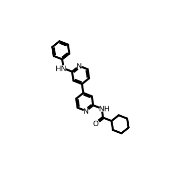 O=C(Nc1cc(-c2ccnc(Nc3ccccc3)c2)ccn1)C1CCCCC1